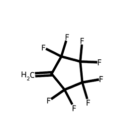 C=C1C(F)(F)C(F)(F)C(F)(F)C1(F)F